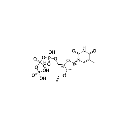 C=COC1C[C@H](n2cc(C)c(=O)[nH]c2=O)O[C@@H]1COP(=O)(O)OP(=O)(O)OP(=O)(O)O